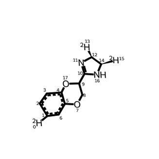 [2H]c1ccc2c(c1)OCC(C1=N[C@@H]([2H])[C@@H]([2H])N1)O2